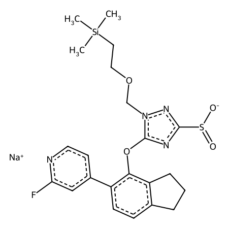 C[Si](C)(C)CCOCn1nc(S(=O)[O-])nc1Oc1c(-c2ccnc(F)c2)ccc2c1CCC2.[Na+]